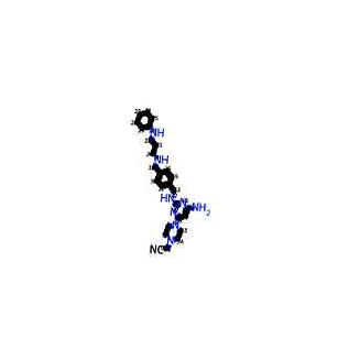 N#CCN1CCN(c2cc(N)nc(NCc3ccc(CNCCCNC4CCCCC4)cc3)n2)CC1